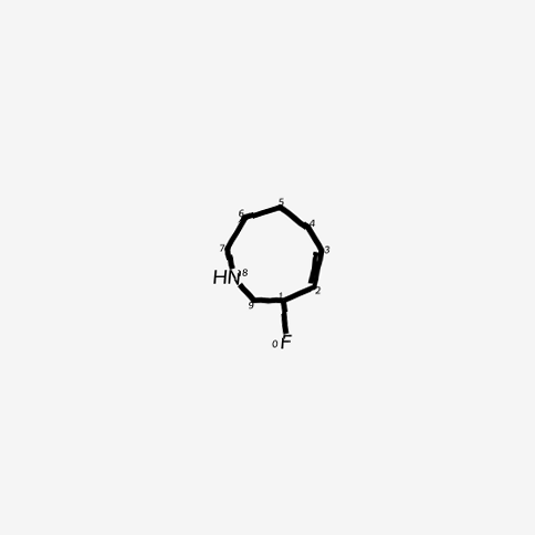 FC1/C=C\CCCCNC1